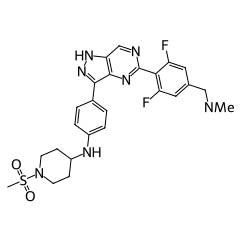 CNCc1cc(F)c(-c2ncc3[nH]nc(-c4ccc(NC5CCN(S(C)(=O)=O)CC5)cc4)c3n2)c(F)c1